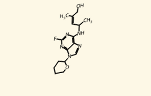 C/C(=C/C(C)Nc1nc(F)nc2c1ncn2C1CCCCO1)CO